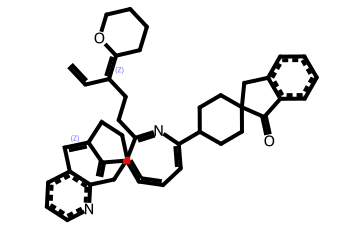 C=C/C(CCC1=NC(C2CCC3(CC2)Cc2ccccc2C3=O)=CC=C=C1C(=C)/C1=C\c2cccnc2CCCC1)=C1/CCCCO1